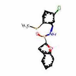 CSc1ccc(Cl)cc1N[S+]([O-])c1cc2ccccc2o1